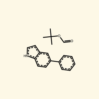 CC(C)(C)OC=O.c1ccc(-c2ccc3[nH]ccc3c2)cc1